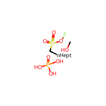 CCCCCCCCS(=O)(=O)OF.CO.O=P(O)(O)O